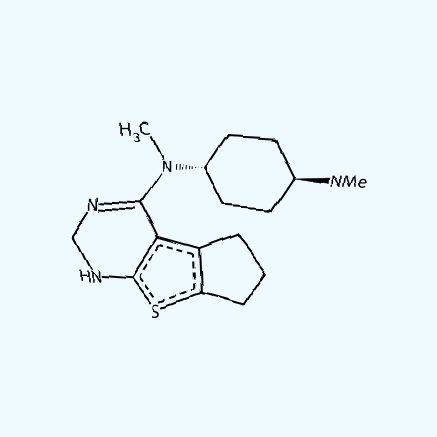 CN[C@H]1CC[C@H](N(C)C2=NCNc3sc4c(c32)CCC4)CC1